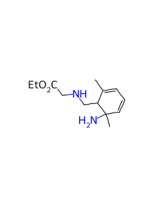 CCOC(=O)CNCC1C(C)=CC=CC1(C)N